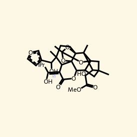 COC(=O)CC1C2(C)CC3(O)C4OC(=O)/C(=C(\O)C(C)C)C5C(C)(C(O)c6ccoc6)CCC67OC(C)(OC546)OC3(C2)C17C